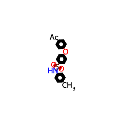 CC(=O)c1ccc(Oc2ccc(S(=O)(=O)Nc3ccc(C)cc3)cc2)cc1